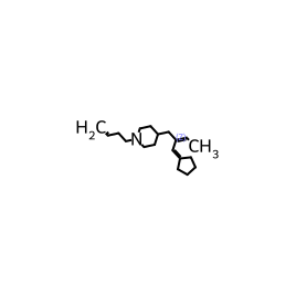 C=CCCN1CCC(C/C(C=C2CCCC2)=C/C)CC1